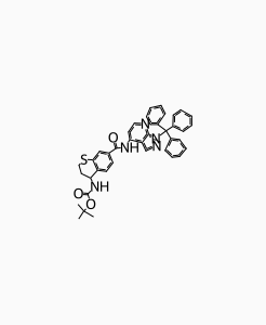 CC(C)(C)OC(=O)NC1CCSc2cc(C(=O)Nc3ccnc4c3cnn4C(c3ccccc3)(c3ccccc3)c3ccccc3)ccc21